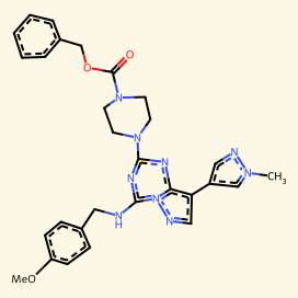 COc1ccc(CNc2nc(N3CCN(C(=O)OCc4ccccc4)CC3)nc3c(-c4cnn(C)c4)cnn23)cc1